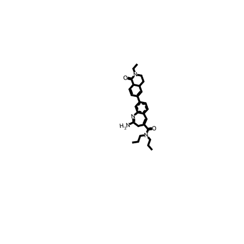 CCCN(CCC)C(=O)C1=Cc2ccc(C3=CC4CCN(CC)C(=O)C4C=C3)cc2N=C(N)C1